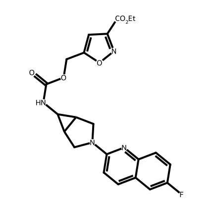 CCOC(=O)c1cc(COC(=O)NC2C3CN(c4ccc5cc(F)ccc5n4)CC32)on1